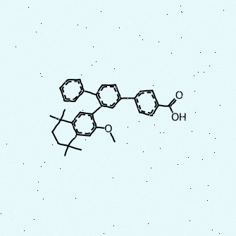 COc1cc2c(cc1-c1cc(-c3ccc(C(=O)O)cc3)ccc1-c1ccccc1)C(C)(C)CCC2(C)C